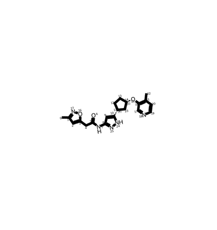 Cc1cc(CC(=O)Nc2cc([C@@H]3CC[C@H](Oc4cnccc4C)C3)[nH]n2)on1